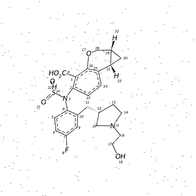 O=C(O)c1c(N(c2ccc(F)cc2C[C@@H]2CCN(CCO)C2)[SH](=O)=O)ccc2c1OC[C@@H]1C[C@H]21